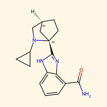 NC(=O)c1cccc2[nH]c([C@@]34CC[C@H](CN3C3CC3)C4)nc12